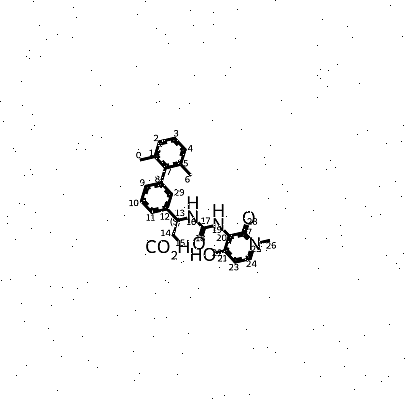 Cc1cccc(C)c1-c1cccc([C@H](CC(=O)O)NC(=O)Nc2c(O)ccn(C)c2=O)c1